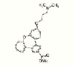 COC(=O)c1cc2c(s1)-c1ccc(OCCCN(C)C)cc1Oc1ccccc1-2